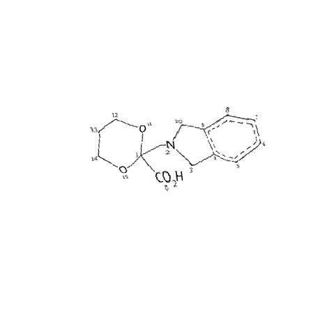 O=C(O)C1(N2Cc3ccccc3C2)OCCCO1